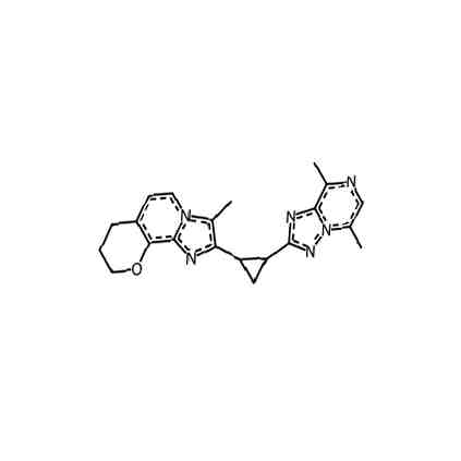 Cc1ncc(C)n2nc(C3CC3c3nc4c5c(ccn4c3C)CCCO5)nc12